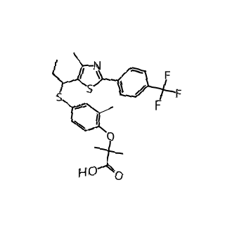 CCC(Sc1ccc(OC(C)(C)C(=O)O)c(C)c1)c1sc(-c2ccc(C(F)(F)F)cc2)nc1C